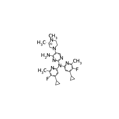 Cc1nc(N(c2cc(C3CC3)c(F)c(C)n2)c2ncc(N3CCN(C)[C@@H](C)C3)c(N)n2)cc(C2CC2)c1F